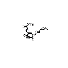 COC(=O)/C=C/c1cn(COCCOC(C)=O)c(=O)[nH]c1=O